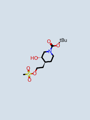 CC(C)(C)OC(=O)N1CC[C@@H](CCOS(C)(=O)=O)[C@H](O)C1